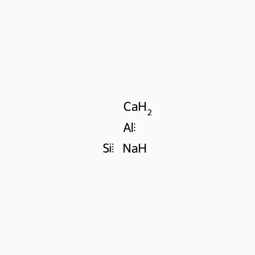 [Al].[CaH2].[NaH].[Si]